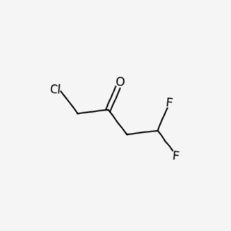 O=C(CCl)CC(F)F